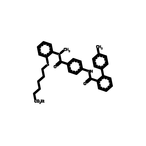 CCOC(=O)CCCCCSc1ccccc1N(C)C(=O)c1ccc(NC(=O)c2ccccc2-c2ccc(C)cc2)cc1